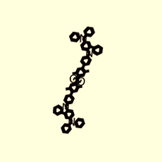 Cc1cc(S(=O)(=O)c2cc(C)c(-c3ccc(-n4c5ccccc5c5cc(N(c6ccccc6)c6ccccc6)ccc54)cc3)cc2C)c(C)cc1-c1ccc(-n2c3ccccc3c3cc(N(c4ccccc4)c4ccccc4)ccc32)cc1